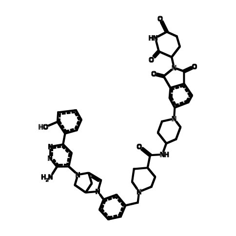 Nc1nnc(-c2ccccc2O)cc1N1CC2CC1=CN2c1cccc(CN2CCC(C(=O)NC3CCN(c4ccc5c(c4)C(=O)N(C4CCC(=O)NC4=O)C5=O)CC3)CC2)c1